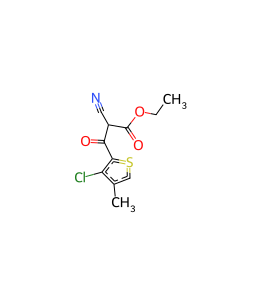 CCOC(=O)C(C#N)C(=O)c1scc(C)c1Cl